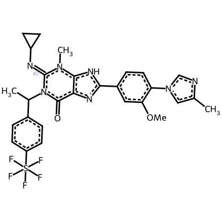 COc1cc(-c2nc3c(=O)n(C(C)c4ccc(S(F)(F)(F)(F)F)cc4)/c(=N/C4CC4)n(C)c3[nH]2)ccc1-n1cnc(C)c1